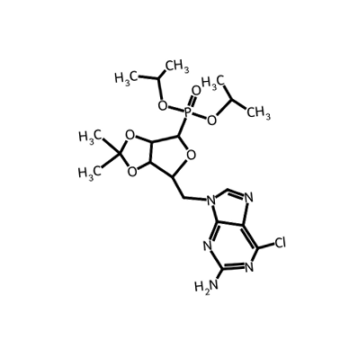 CC(C)OP(=O)(OC(C)C)C1OC(Cn2cnc3c(Cl)nc(N)nc32)C2OC(C)(C)OC21